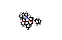 CC1(C)c2ccccc2-c2c(N(c3ccc(-c4ccc5ccccc5c4)cc3)c3ccccc3-c3cccc4cccc(C5CCCCC5)c34)cccc21